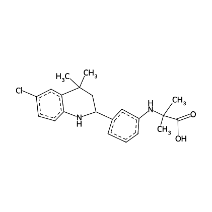 CC(C)(Nc1cccc(C2CC(C)(C)c3cc(Cl)ccc3N2)c1)C(=O)O